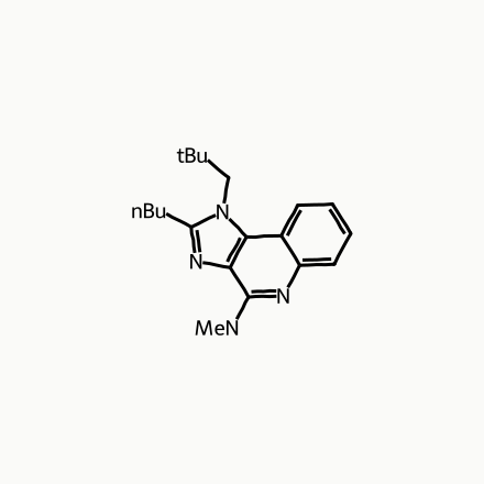 CCCCc1nc2c(NC)nc3ccccc3c2n1CC(C)(C)C